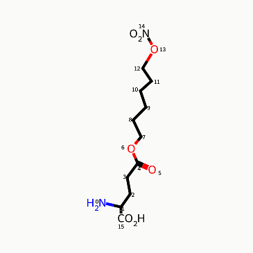 NC(CCC(=O)OCCCCCCO[N+](=O)[O-])C(=O)O